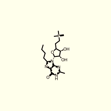 C=P(C)(C)CCC1O[C@@H](n2c(CCCC)nc3c(=O)[nH]c(C)nc32)[C@H](O)[C@@H]1O